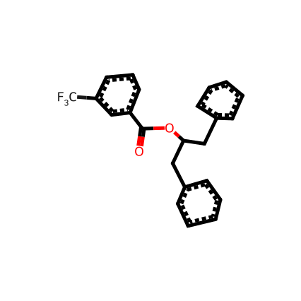 O=C(OC(Cc1ccccc1)Cc1ccccc1)c1cccc(C(F)(F)F)c1